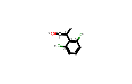 CC(=C=O)c1c(F)cccc1F